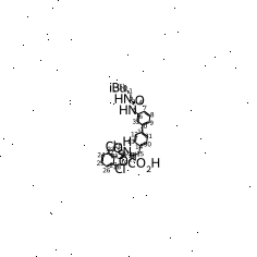 CC[C@H](C)CNC(=O)Nc1cccc(-c2ccc(C[C@@H](NS(=O)(=O)c3c(Cl)cccc3Cl)C(=O)O)cc2)c1